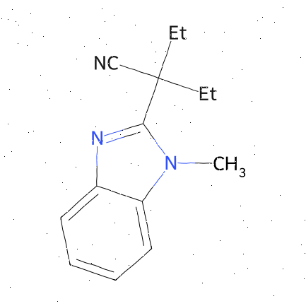 CCC(C#N)(CC)c1nc2ccccc2n1C